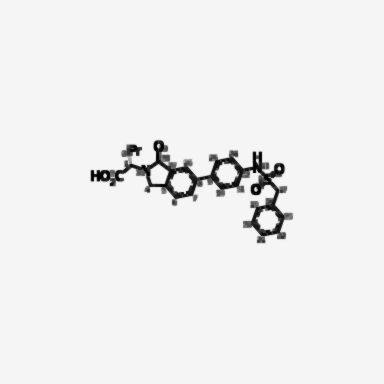 CC(C)[C@@H](C(=O)O)N1Cc2ccc(-c3ccc(NS(=O)(=O)Cc4ccccc4)cc3)cc2C1=O